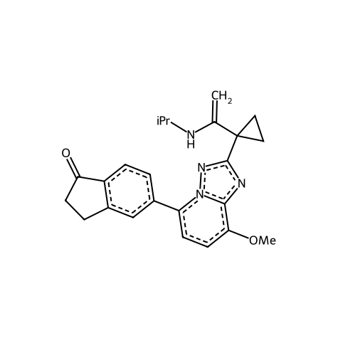 C=C(NC(C)C)C1(c2nc3c(OC)ccc(-c4ccc5c(c4)CCC5=O)n3n2)CC1